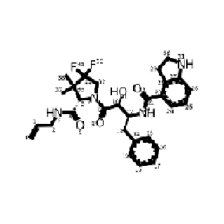 C=CCNC(=O)[C@H]1N(C(=O)[C@@H](O)[C@H](Cc2ccccc2)NC(=O)c2cccc3c2CCN3)CC(F)(F)C1(C)C